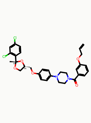 C=CCOc1cccc(C(=O)N2CCN(c3ccc(OC[C@@H]4CO[C@](C)(c5ccc(Cl)cc5Cl)O4)cc3)CC2)c1